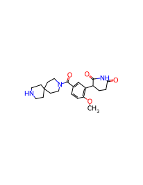 COc1ccc(C(=O)N2CCC3(CCNCC3)CC2)cc1C1CCC(=O)NC1=O